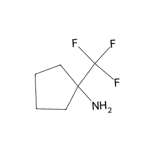 NC1(C(F)(F)F)CCCC1